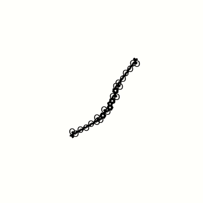 C=C(C)C(=O)OCCOCCOCCOCCOC(=O)Oc1ccc(C(=O)Oc2ccc3c(c2)Cc2cc(OC(=O)c4ccc(OC(=O)OCCOCCOCCOCCOC(=O)C(=C)C)cc4)ccc2-3)cc1